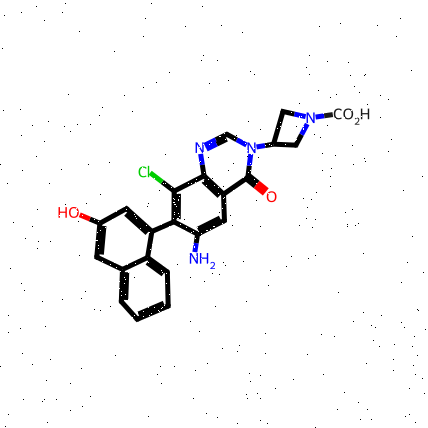 Nc1cc2c(=O)n(C3CN(C(=O)O)C3)cnc2c(Cl)c1-c1cc(O)cc2ccccc12